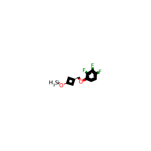 Fc1ccc(OC[C@H]2C[C@@H](O[SiH3])C2)c(F)c1F